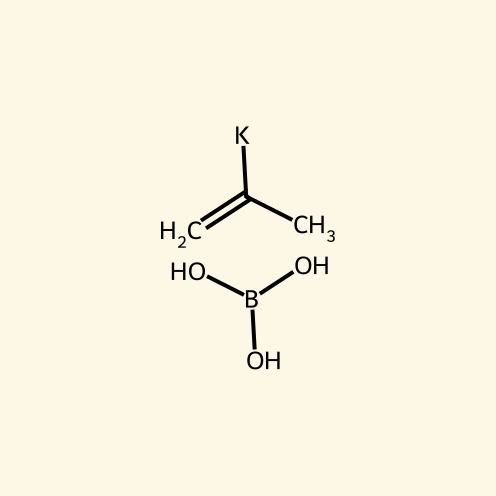 C=[C](C)[K].OB(O)O